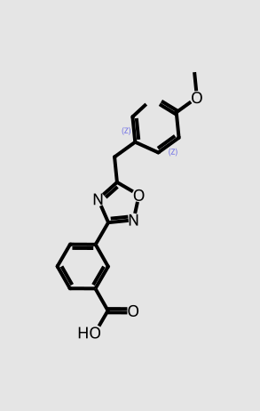 C=C(/C=C\C(=C/C)Cc1nc(-c2cccc(C(=O)O)c2)no1)OC